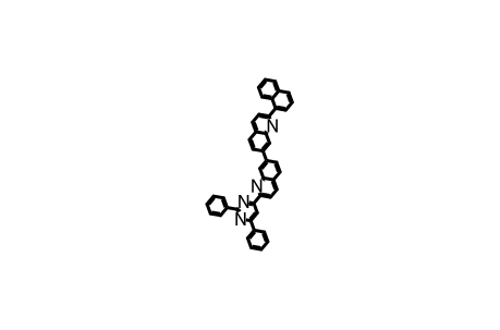 c1ccc(-c2cc(-c3ccc4ccc(-c5ccc6ccc(-c7cccc8ccccc78)nc6c5)cc4n3)nc(-c3ccccc3)n2)cc1